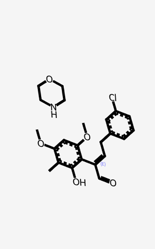 C1COCCN1.COc1cc(OC)c(/C(C=O)=C\Cc2cccc(Cl)c2)c(O)c1C